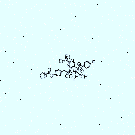 C#CCN(c1cnc(N(CC)CC)nc1N[C@@H](Cc1ccc(OC(=O)N2CCCC2)cc1)C(=O)O)S(=O)(=O)c1ccc(F)cc1